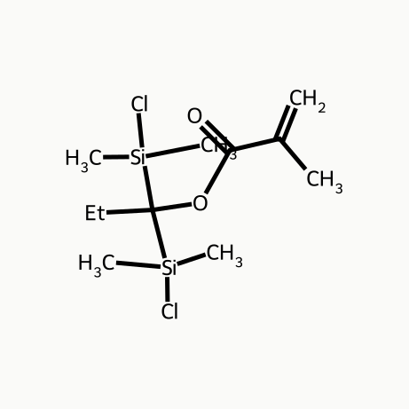 [CH2]CC(OC(=O)C(=C)C)([Si](C)(C)Cl)[Si](C)(C)Cl